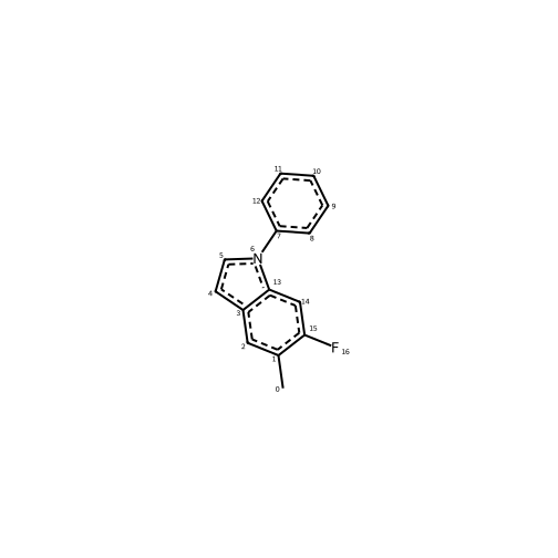 Cc1cc2ccn(-c3ccccc3)c2cc1F